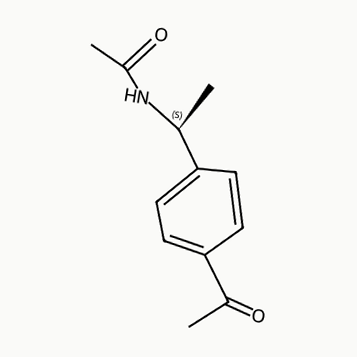 CC(=O)N[C@@H](C)c1ccc(C(C)=O)cc1